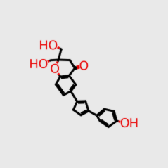 O=C1CC(CO)(CO)Oc2ccc(C3=CC(c4ccc(O)cc4)=CC3)cc21